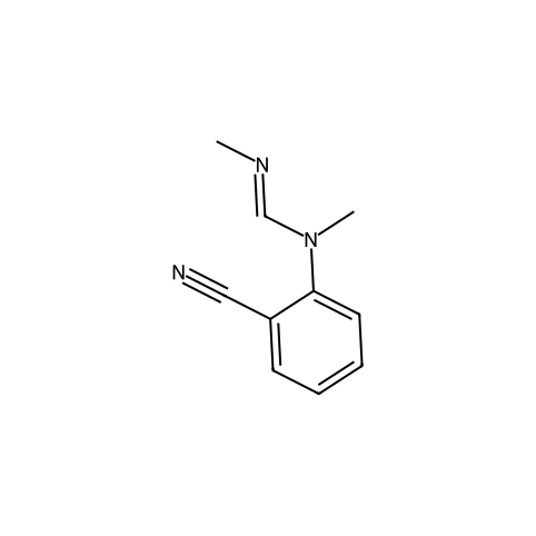 C/N=C/N(C)c1ccccc1C#N